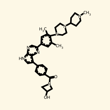 Cc1cc(-c2cnc3[nH]cc(-c4ccc(C(=O)N5CC(O)C5)cc4)c3n2)cc(C)c1N1CCN(C2CCN(C)CC2)CC1